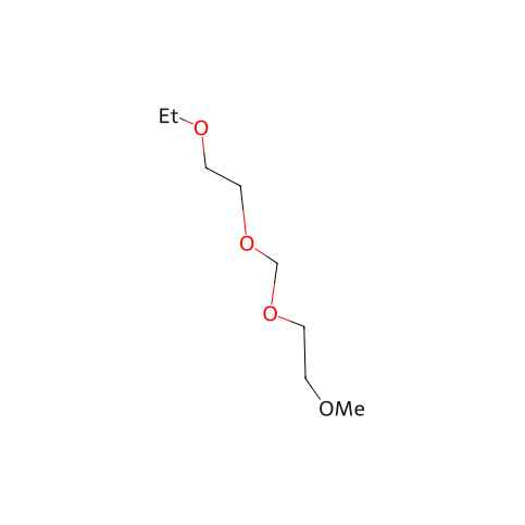 CCOCCOCOCCOC